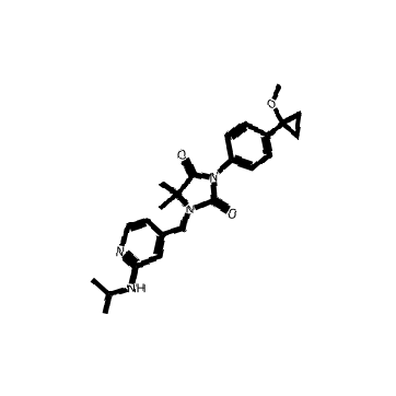 COC1(c2ccc(N3C(=O)N(Cc4ccnc(NC(C)C)c4)C(C)(C)C3=O)cc2)CC1